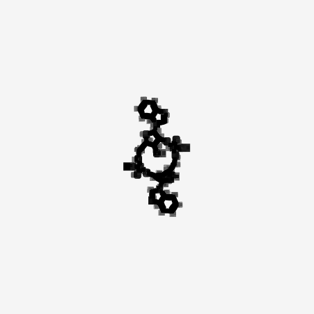 O=P1(O)OC[C@H]2O[C@@H](n3cnc4ccccc43)C(OP(=O)(O)OC[C@H]3O[C@@H](n4cnc5ccccc54)C(O1)C3O)C2O